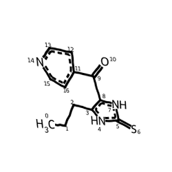 CCCc1[nH]c(=S)[nH]c1C(=O)c1ccncc1